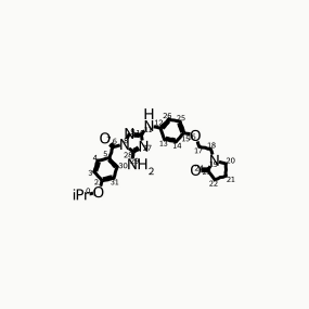 CC(C)Oc1ccc(C(=O)n2nc(Nc3ccc(OCCN4CCCC4=O)cc3)nc2N)cc1